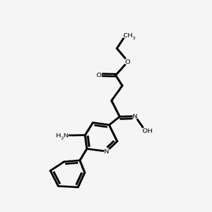 CCOC(=O)CC/C(=N/O)c1cnc(-c2ccccc2)c(N)c1